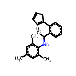 Cc1cc(C)c(NC(C)c2ccccc2C2=CC=CC2)c(C)c1